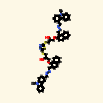 CCn1c2ccccc2c2cc(/C=N/N=C/c3ccc4ccccc4c3OCC(O)CSc3nnc(SCC(O)COc4ccc5ccccc5c4/C=N/N=C/c4cccc5c4c4ccccc4n5CC)s3)ccc21